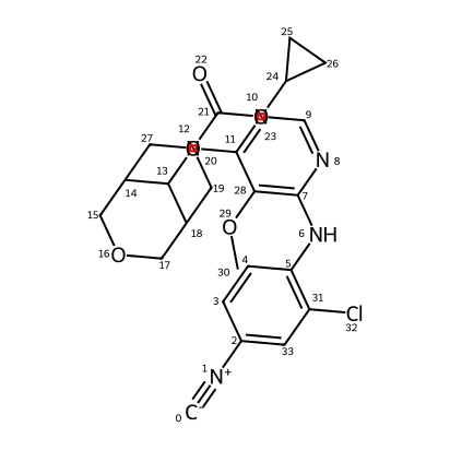 [C-]#[N+]c1ccc(Nc2ncnc(OC3C4COCC3CN(C(=O)OC3CC3)C4)c2OC)c(Cl)c1